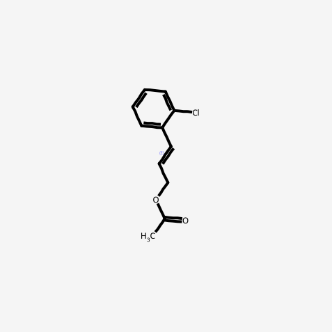 CC(=O)OC/C=C/c1ccccc1Cl